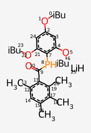 CCC(C)Oc1cc(OC(C)CC)c(PC(=O)c2c(C)cc(C)c(C)c2C)c(OC(C)CC)c1.[LiH]